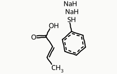 CC=CC(=O)O.Sc1ccccc1.[NaH].[NaH]